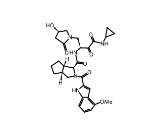 COc1cccc2[nH]c(C(=O)N3C[C@@H]4CCC[C@@H]4[C@H]3C(=O)N[C@@H](CN3C[C@H](O)CC3=O)C(=O)C(=O)NC3CC3)cc12